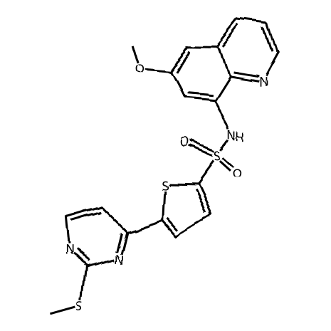 COc1cc(NS(=O)(=O)c2ccc(-c3ccnc(SC)n3)s2)c2ncccc2c1